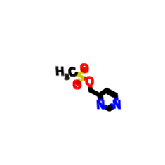 CS(=O)(=O)OCc1ccncn1